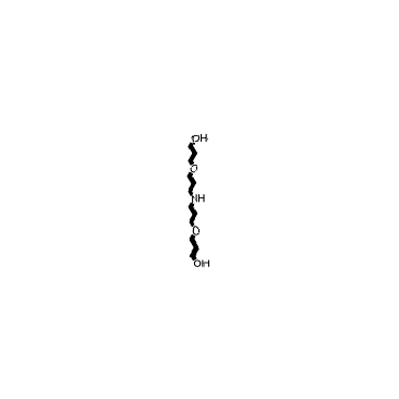 OCCCOCCCNCCCOCCCO